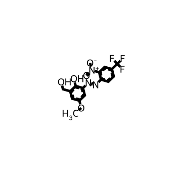 COc1cc(CO)c(O)c(N=Nc2ccc(C(F)(F)F)cc2[N+](=O)[O-])c1